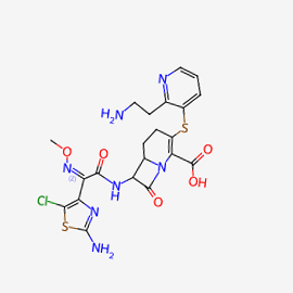 CO/N=C(\C(=O)NC1C(=O)N2C(C(=O)O)=C(Sc3cccnc3CCN)CCC12)c1nc(N)sc1Cl